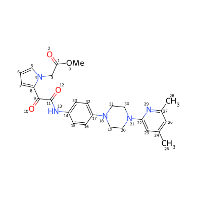 COC(=O)Cn1cccc1C(=O)C(=O)Nc1ccc(N2CCN(c3cc(C)cc(C)n3)CC2)cc1